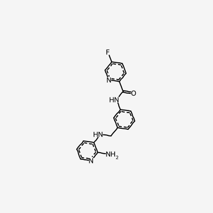 Nc1ncccc1NCc1cccc(NC(=O)c2ccc(F)cn2)c1